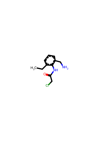 CCc1cccc(CN)c1NC(=O)CCl